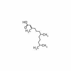 C/C(=C\C(=O)O)CCCC(C)CCCC(C)C